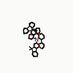 CC1(C)c2ccccc2-c2ccc(N(c3cccc4c3-c3ccccc3C43c4ccccc4-c4ccccc43)c3c(-c4ccccc4)cccc3-c3ccccc3)cc21